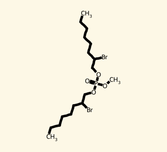 CCCCCCC(Br)COP(=O)(OC)OCC(Br)CCCCCC